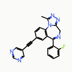 Cc1nnc2n1-c1ccc(C#Cc3cncnc3)cc1C(c1ccccc1F)=NC2